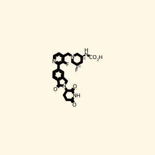 O=C(O)N[C@H]1C[C@H](F)CN(Cc2ccnc(-c3ccc4c(c3)CN(C3CCC(=O)NC3=O)C4=O)c2F)C1